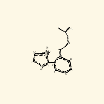 CC(C)CCc1ccccc1-c1ncc[nH]1